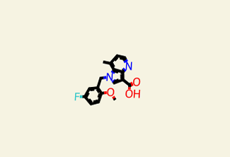 COc1ccc(F)cc1Cn1cc(C(=O)O)c2nccc(C)c21